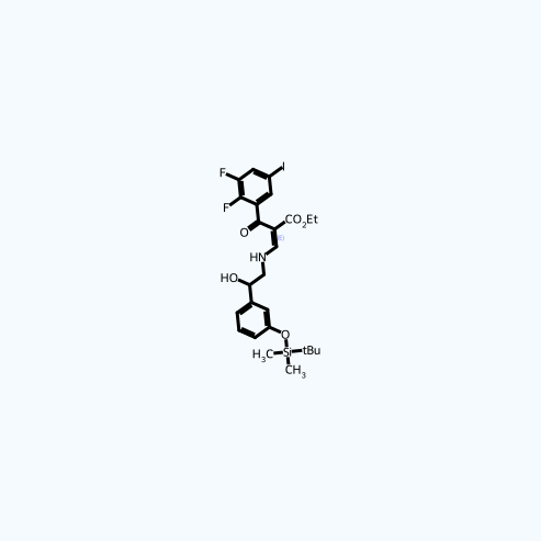 CCOC(=O)/C(=C/NCC(O)c1cccc(O[Si](C)(C)C(C)(C)C)c1)C(=O)c1cc(I)cc(F)c1F